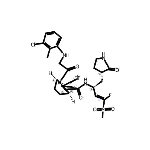 Cc1c(Cl)cccc1NCC(=O)N1[C@@H]2CC[C@H]([C@@H]1C(=O)N[C@H](/C=C(\F)S(C)(=O)=O)C[C@@H]1CCNC1=O)C(F)(F)C2